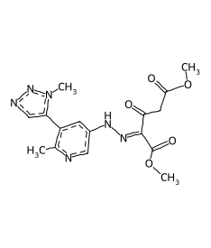 COC(=O)CC(=O)/C(=N\Nc1cnc(C)c(-c2cnnn2C)c1)C(=O)OC